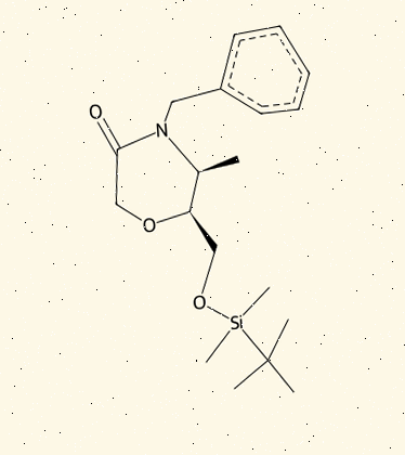 C[C@H]1[C@@H](CO[Si](C)(C)C(C)(C)C)OCC(=O)N1Cc1ccccc1